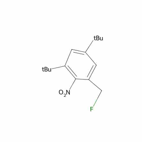 CC(C)(C)c1cc(CF)c([N+](=O)[O-])c(C(C)(C)C)c1